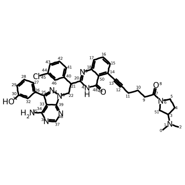 CN(C)C1CCN(C(=O)CCCC#Cc2cccc3nc(C(Cn4nc(-c5cccc(O)c5)c5c(N)ncnc54)c4cccc(Cl)c4)[nH]c(=O)c23)C1